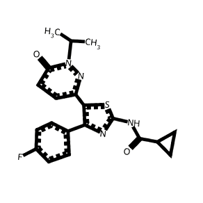 CC(C)n1nc(-c2sc(NC(=O)C3CC3)nc2-c2ccc(F)cc2)ccc1=O